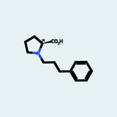 O=C(O)[C@H]1CCCN1CCCc1ccccc1